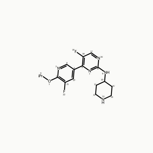 CC(C)Oc1ncc(-c2nc(NC3CCNCC3)ncc2F)cc1F